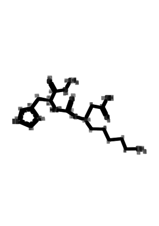 CCCCCCN(CC(=O)O)CC(=O)N[C@@H](Cc1c[nH]cn1)C(=O)OC